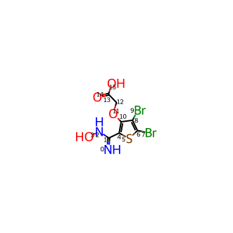 N=C(NO)c1sc(Br)c(Br)c1OCC(=O)O